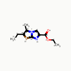 CCOC(=O)c1cn2c(C)c(CC)sc2n1